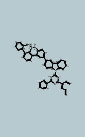 C=C/C=C(\C=C)c1nc(-c2ccccc2)nc(-n2c3ccccc3c3cc(-c4ccc5c(c4)-c4cccc6c4B(Nc4ccccc4-6)N5)ccc32)n1